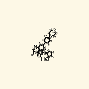 Cn1cnc2cc(-c3ccc(N4CCOCC4)cc3)nc(N[C@H]3CCC[C@@H]3O)c2c1=O